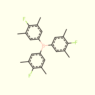 Cc1cc(B(c2cc(C)c(F)c(C)c2)c2cc(C)c(F)c(C)c2)cc(C)c1F